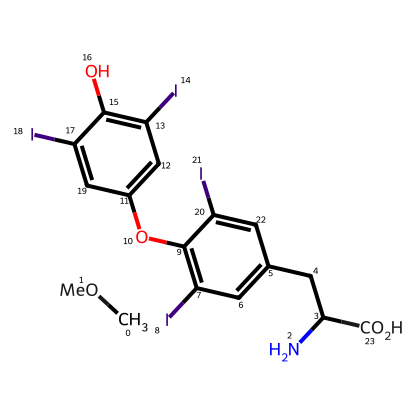 COC.NC(Cc1cc(I)c(Oc2cc(I)c(O)c(I)c2)c(I)c1)C(=O)O